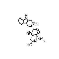 NC(=O)[C@H](CC(=O)O)NC(=O)[C@@H]1Cc2c([nH]c3ccccc23)CN1